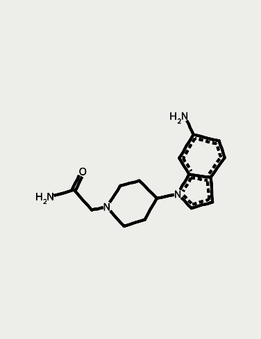 NC(=O)CN1CCC(n2ccc3ccc(N)cc32)CC1